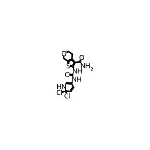 NC(=O)c1c(NC(=O)NC2=CNC(Cl)(Cl)C=C2)sc2c1CCOC2